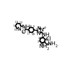 Cn1nc(-c2ccc(C(=O)Nc3ccccn3)cc2)nc1Nc1ccc(N)c(CN)c1Cl